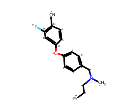 CC(C)CCN(C)Cc1ccc(Oc2ccc(C#N)c(F)c2)cc1